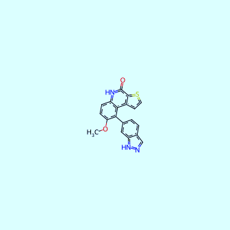 COc1ccc2[nH]c(=O)c3sccc3c2c1-c1ccc2cn[nH]c2c1